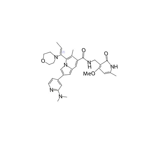 C/C=C(/c1c(C)c(C(=O)NCc2c(OC)cc(C)[nH]c2=O)cc2cc(-c3ccnc(N(C)C)c3)cn12)N1CCOCC1